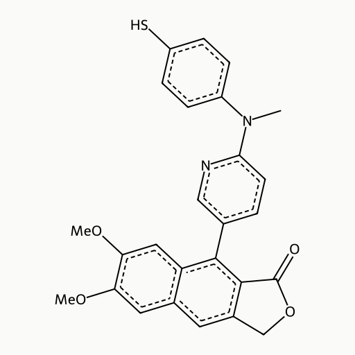 COc1cc2cc3c(c(-c4ccc(N(C)c5ccc(S)cc5)nc4)c2cc1OC)C(=O)OC3